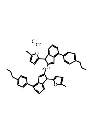 CCCc1ccc(-c2cccc3c2C=[C]([Zr+2][C]2=Cc4c(-c5ccc(CCC)cc5)cccc4C2c2ccc(C)o2)C3c2ccc(C)o2)cc1.[Cl-].[Cl-]